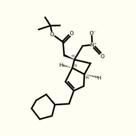 CC(C)(C)OC(=O)C[C@@]1(C[N+](=O)[O-])C[C@H]2CC(CC3CCCCC3)=C[C@H]21